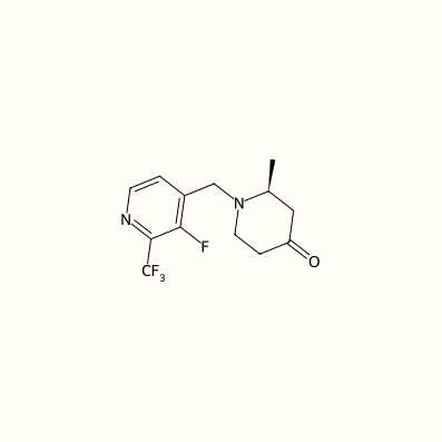 C[C@H]1CC(=O)CCN1Cc1ccnc(C(F)(F)F)c1F